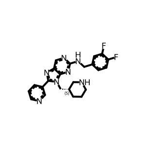 Fc1ccc(CNc2ncc3nc(-c4cccnc4)n(C[C@H]4CCCNC4)c3n2)cc1F